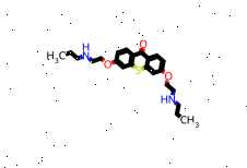 CCCNCCOc1ccc2c(=O)c3ccc(OCCNCCC)cc3sc2c1